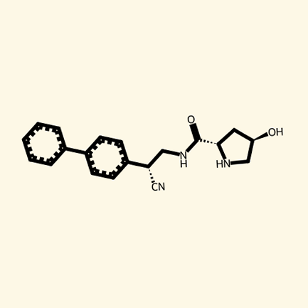 N#C[C@@H](CNC(=O)[C@@H]1C[C@@H](O)CN1)c1ccc(-c2ccccc2)cc1